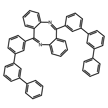 c1ccc(-c2cccc(-c3cccc(/C4=N/c5ccccc5/C(c5cccc(-c6cccc(-c7ccccc7)c6)c5)=N\c5ccccc54)c3)c2)cc1